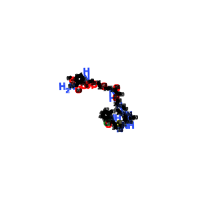 COc1ccc(NC(=O)COCCOCCNC(=O)C(C)OCCN2CCN(c3cc(Nc4ncc(C(=O)Nc5c(C)cccc5Cl)s4)nc(C)n3)CC2)c(O)c1C(N)=O